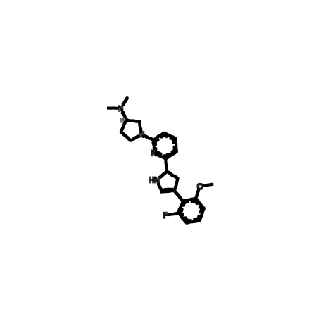 COc1cccc(F)c1C1=CNC(c2cccc(N3CC[C@@H](N(C)C)C3)n2)C1